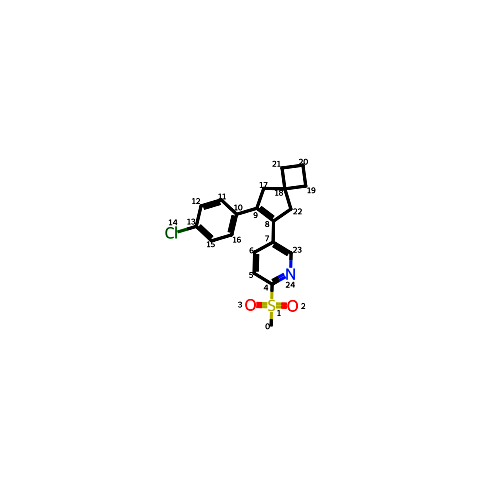 CS(=O)(=O)c1ccc(C2=C(c3ccc(Cl)cc3)CC3(CCC3)C2)cn1